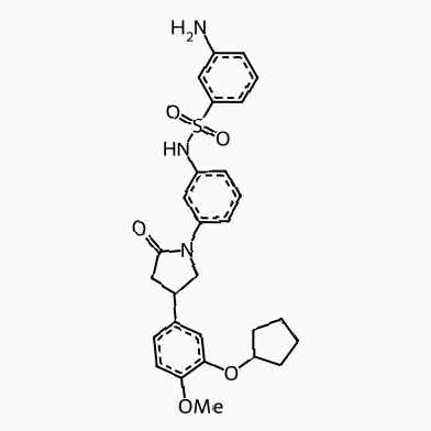 COc1ccc(C2CC(=O)N(c3cccc(NS(=O)(=O)c4cccc(N)c4)c3)C2)cc1OC1CCCC1